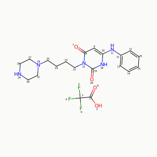 O=C(O)C(F)(F)F.O=c1cc(Nc2ccccc2)[nH]c(=O)n1CCCCN1CCNCC1